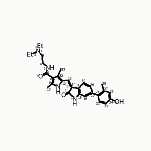 CCN(CC)CCNC(=O)c1c(C)[nH]c(/C=C2\C(=O)Nc3cc(-c4ccc(O)cc4C)ccc32)c1C